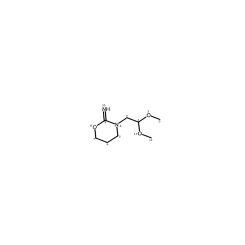 COC(CN1CCCOC1=N)OC